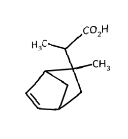 CC(C(=O)O)C1(C)CC2C=CC1C2